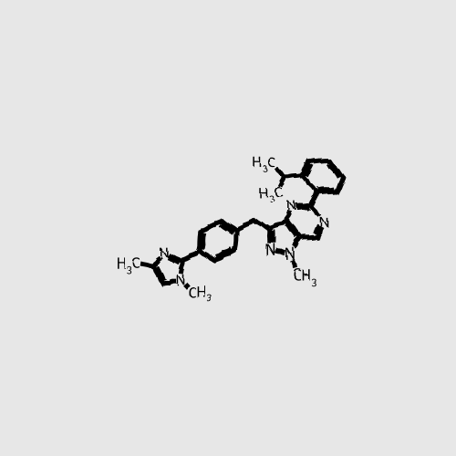 Cc1cn(C)c(-c2ccc(Cc3nn(C)c4cnc(-c5ccccc5C(C)C)nc34)cc2)n1